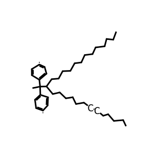 CCCCCCCCCCCCCC(CCCCCCCCCCCCC)C(C)(c1cc[c]cc1)c1cc[c]cc1